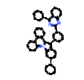 c1ccc(-c2ccc3c(-c4cccc(-c5nc(-c6ccccc6)c6ccccc6n5)c4)c4c5ccccc5c5ccccc5n4c3c2)cc1